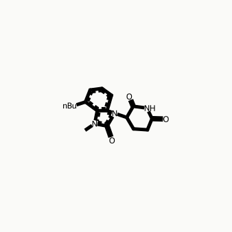 CCCCc1cccc2c1n(C)c(=O)n2C1CCC(=O)NC1=O